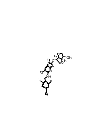 O[C@@H]1CO[C@H]2[C@@H]1OC[C@H]2Oc1nc2nc(NCc3c(F)cc(C4CC4)cc3F)c(Cl)cc2[nH]1